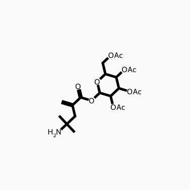 C=C(CC(C)(C)N)C(=O)OC1OC(COC(C)=O)C(OC(C)=O)C(OC(C)=O)C1OC(C)=O